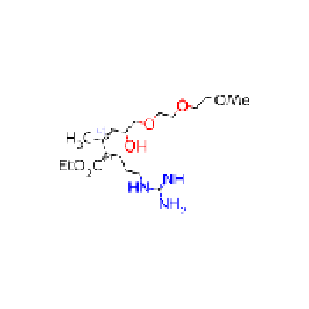 CCOC(=O)[C@H](CCCNC(=N)N)/C(C)=C\C(O)COCCOCCOC